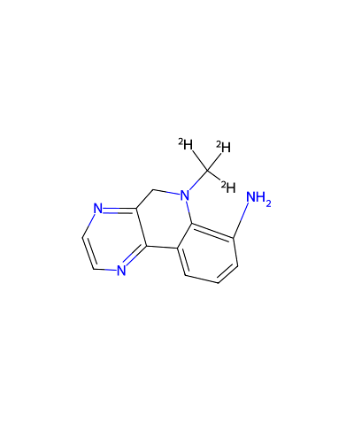 [2H]C([2H])([2H])N1Cc2nccnc2-c2cccc(N)c21